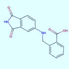 O=C(O)c1ccccc1CNc1ccc2c(c1)C(=O)NC2=O